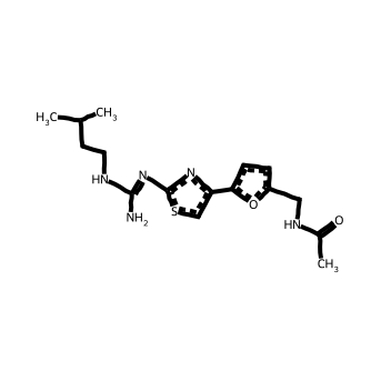 CC(=O)NCc1ccc(-c2csc(/N=C(\N)NCCC(C)C)n2)o1